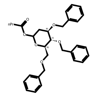 CCCC(=O)OC1C[C@@H](OCc2ccccc2)[C@H](OCc2ccccc2)[C@@H](COCc2ccccc2)O1